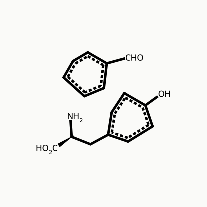 N[C@@H](Cc1ccc(O)cc1)C(=O)O.O=Cc1ccccc1